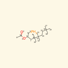 CC(=O)OC(CP)CC(C)(C)C(C)(C)CCC(C)(C)C